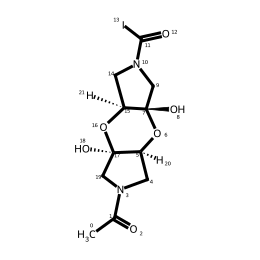 CC(=O)N1C[C@@H]2O[C@@]3(O)CN(C(=O)I)C[C@@H]3O[C@]2(O)C1